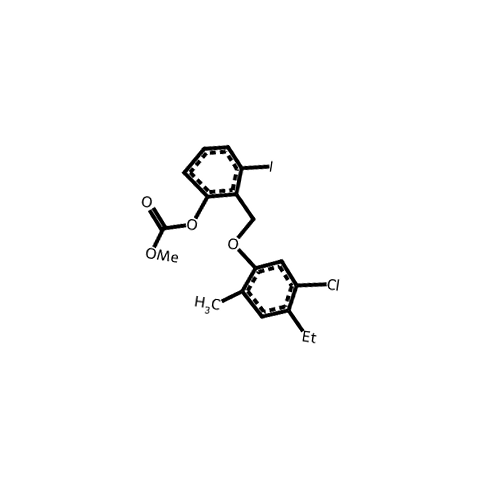 CCc1cc(C)c(OCc2c(I)cccc2OC(=O)OC)cc1Cl